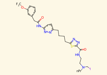 CCCN(CI)CCNC(=O)c1nnc(CCCCc2ccc(NC(=O)Cc3cccc(OC(F)(F)F)c3)nn2)s1